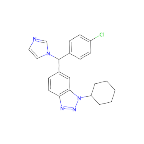 Clc1ccc(C(c2ccc3nnn(C4CCCCC4)c3c2)n2ccnc2)cc1